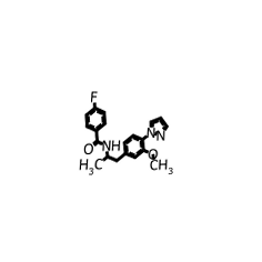 COc1cc(CC(C)NC(=O)c2ccc(F)cc2)ccc1-n1cccn1